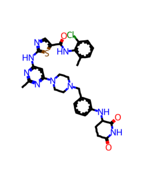 Cc1nc(Nc2ncc(C(=O)Nc3c(C)cccc3Cl)s2)cc(N2CCN(Cc3cccc(NC4CCC(=O)NC4=O)c3)CC2)n1